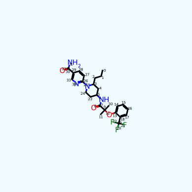 CCCC1CC(NC(=O)C(C)(C)Oc2ccccc2C(F)(F)F)CCN1c1ccc(C(N)=O)cn1